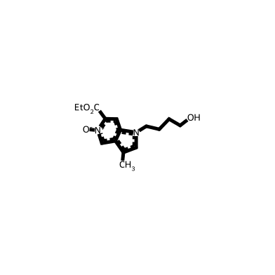 CCOC(=O)c1cc2c(c[n+]1[O-])c(C)cn2CCCCO